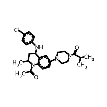 CC(=O)N1c2ccc(N3CCN(C(=O)C(C)C)CC3)cc2C(Nc2ccc(Cl)cc2)CC1C